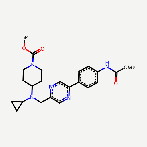 COC(=O)Nc1ccc(-c2cnc(CN(C3CC3)C3CCN(C(=O)OC(C)C)CC3)cn2)cc1